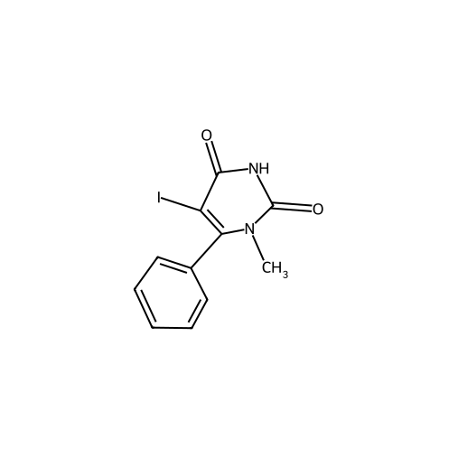 Cn1c(-c2ccccc2)c(I)c(=O)[nH]c1=O